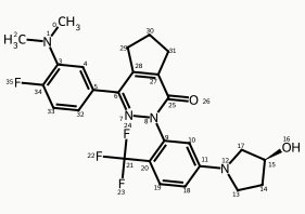 CN(C)c1cc(-c2nn(-c3cc(N4CC[C@H](O)C4)ccc3C(F)(F)F)c(=O)c3c2CCC3)ccc1F